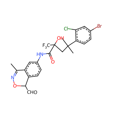 CC1=NOC(C=O)c2ccc(NC(=O)C(O)(CC(C)(C)c3ccc(Br)cc3Cl)C(F)(F)F)cc21